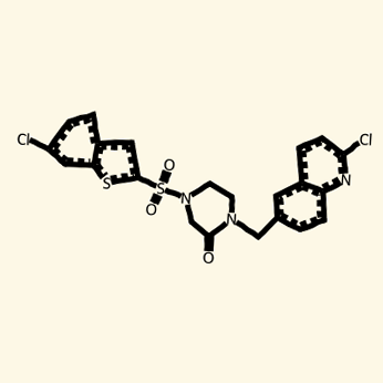 O=C1CN(S(=O)(=O)c2cc3ccc(Cl)cc3s2)CCN1Cc1ccc2nc(Cl)ccc2c1